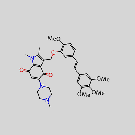 COc1ccc(C=Cc2cc(OC)c(OC)c(OC)c2)cc1OCc1c2c(n(C)c1C)C(=O)C=C(N1CCN(C)CC1)C2=O